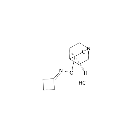 C1CC(=NO[C@@H]2CN3CCC2CC3)C1.Cl